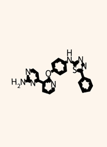 Nc1nccc(-c2cccnc2Oc2ccc(Nc3nnc(-c4ccccc4)s3)cc2)n1